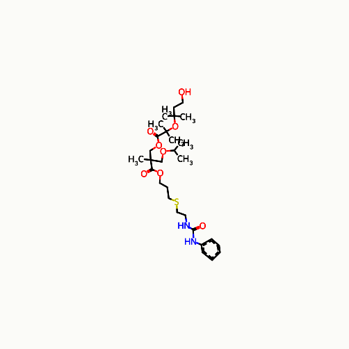 CC(C)OCC(C)(COC(=O)C(C)(C)OC(C)(C)CCO)C(=O)OCCCSCCNC(=O)Nc1ccccc1